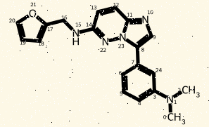 CN(C)c1cccc(-c2cnc3ccc(NCc4ccco4)nn23)c1